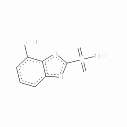 CC(=O)NS(=O)(=O)c1nc2c(C(=O)O)cccc2[nH]1